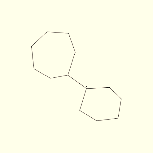 C1CC[C](C2CCCCCC2)CC1